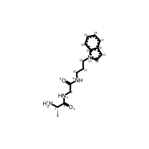 C[C@H](N)C(=O)NCC(=O)NCCCn1c[c]c2ccccc21